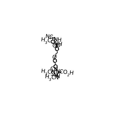 Cc1sc2c(c1C)C(c1ccc(-c3ccc(OCCCc4ccc(S(=O)(=O)Nc5ccc(C)c6c(C#N)c[nH]c56)cc4)cc3)cc1)=N[C@@H](CC(=O)O)c1nnc(C)n1-2